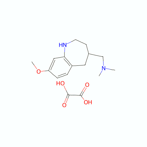 COc1ccc2c(c1)NCCC(CN(C)C)C2.O=C(O)C(=O)O